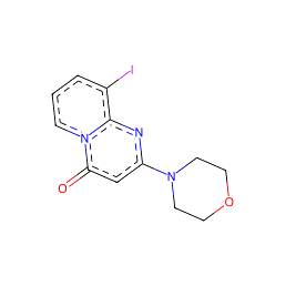 O=c1cc(N2CCOCC2)nc2c(I)cccn12